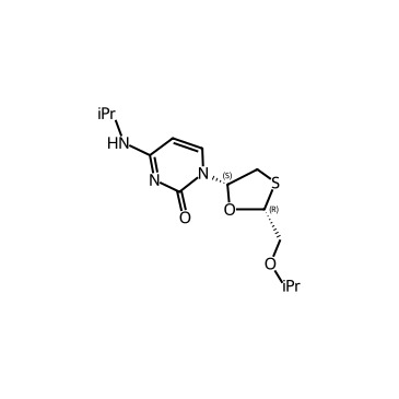 CC(C)Nc1ccn([C@@H]2CS[C@H](COC(C)C)O2)c(=O)n1